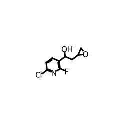 OC(CC1CO1)c1ccc(Cl)nc1F